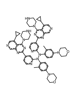 Cc1cc(N2CCOCC2)ccc1N(c1cc(-c2nc(N3CCNCC3)c3c(C4CC4)cncc3n2)ccn1)N(c1cc(-c2nc(N3CCNCC3)c3c(C4CC4)cncc3n2)ccn1)c1ccc(N2CCOCC2)cc1C